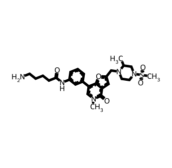 CC1CN(S(C)(=O)=O)CCN1Cc1cc2c(=O)n(C)cc(-c3cccc(NC(=O)CCCCN)c3)c2o1